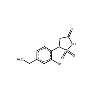 CC(=O)OCc1ccc(C2CC(=O)NS2(=O)=O)c(Br)c1